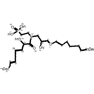 CCCCCCCCCCCCCCCCOCC(O)CN(CCP(=O)(O)O)C(=O)C(O)CCCCCCCCCCCCCC